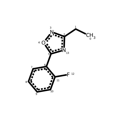 CCc1noc(-c2ccccc2F)n1